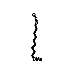 COCCCCCCCCCN=C=O